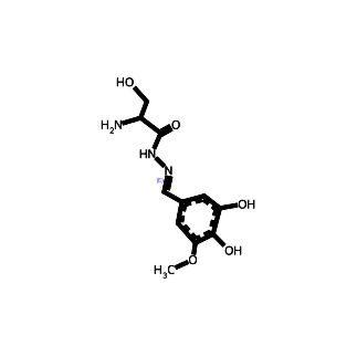 COc1cc(/C=N/NC(=O)C(N)CO)cc(O)c1O